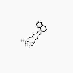 CCCCCCC1(CCCCCC)CCCc2ccccc21